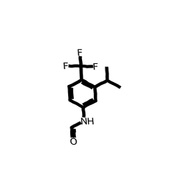 CC(C)c1cc(NC=O)ccc1C(F)(F)F